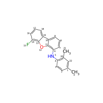 Cc1ccc(Nc2cccc3c2oc2c(F)cccc23)c(C)c1